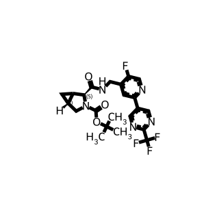 CC(C)(C)OC(=O)N1C[C@@H]2CC2[C@H]1C(=O)NCc1cc(-c2cnc(C(F)(F)F)nc2)ncc1F